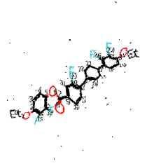 CCOc1ccc(OC(=O)c2ccc(C3=CCC(c4ccc(OCC)c(F)c4F)CC3)c(F)c2)c(F)c1F